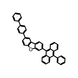 c1ccc(-c2ccc(-c3ccc4oc5cc(-c6c7ccccc7c(-c7ccccc7)c7ccccc67)ccc5c4c3)cc2)cc1